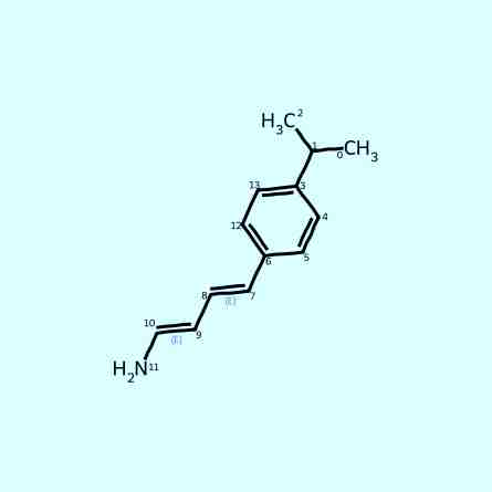 CC(C)c1ccc(/C=C/C=C/N)cc1